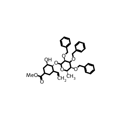 C=CC1CC(C(=O)OC)C[C@@H](O)[C@@H]1OC1O[C@@H](C)[C@H](OCc2ccccc2)C(OCc2ccccc2)[C@@H]1OCc1ccccc1